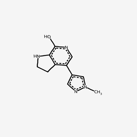 Cn1cc(-c2cnc(O)c3c2CCN3)cn1